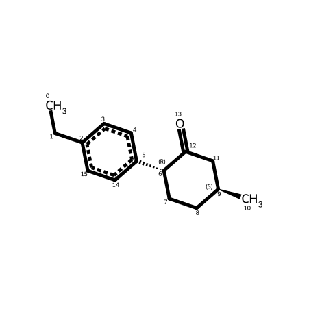 CCc1ccc([C@H]2CC[C@H](C)CC2=O)cc1